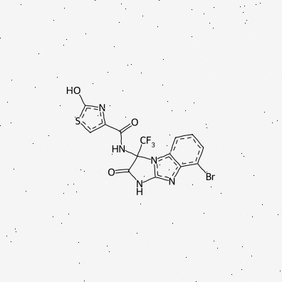 O=C(NC1(C(F)(F)F)C(=O)Nc2nc3c(Br)cccc3n21)c1csc(O)n1